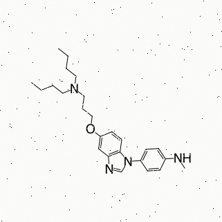 CCCCN(CCCC)CCCOc1ccc2c(c1)ncn2-c1ccc(NC)cc1